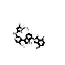 Cc1cnc(Nc2cc(C)n(C)n2)nc1-c1c[nH]c2c(N3Cc4c(Br)ccc(F)c4C3=O)cccc12